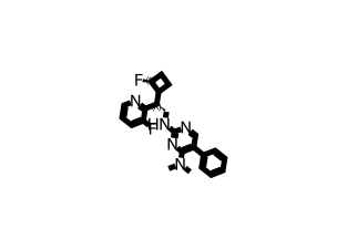 CN(C)c1nc(NC[C@H](c2ncccc2F)C2CC[C@@H]2F)ncc1-c1ccccc1